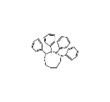 c1ccc(P2CCCCCP(c3ccccc3)P(c3ccccc3)P2c2ccccc2)cc1